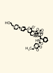 CCN1CCN(C(=O)N[C@@H](C(=O)N[C@]2(NC=O)C(=O)N3C(C(=O)[O-])=C(CSc4cc[n+](N5CCN(CCO)CC5)cc4)CS[C@@H]32)c2ccccc2)C(=O)C1=O